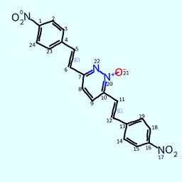 O=[N+]([O-])c1ccc(/C=C/c2ccc(/C=C/c3ccc([N+](=O)[O-])cc3)[n+]([O-])n2)cc1